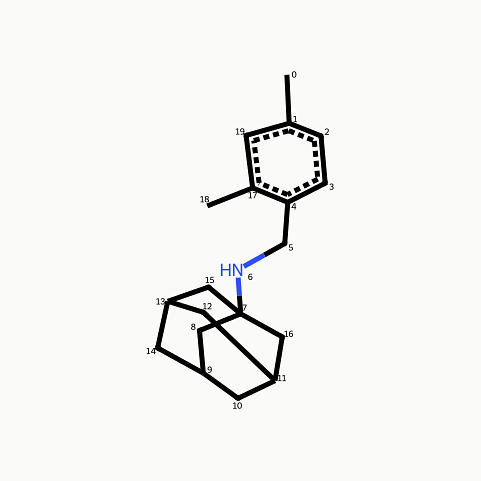 Cc1ccc(CNC23CC4CC(CC(C4)C2)C3)c(C)c1